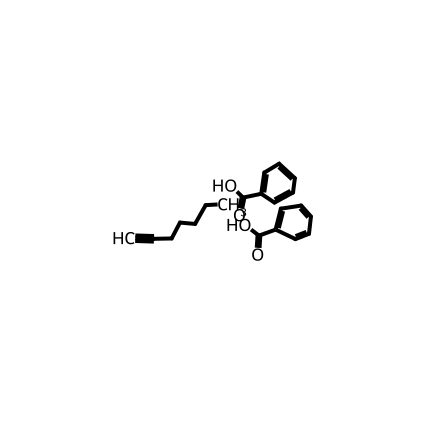 C#CCCCCC.O=C(O)c1ccccc1.O=C(O)c1ccccc1